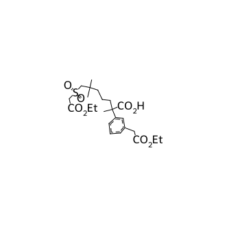 CCOC(=O)Cc1cccc(C(C)(CCCC(C)(C)CS(=O)(=O)CC(=O)OCC)C(=O)O)c1